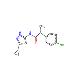 CC(C(=O)Nc1cc(C2CC2)n[nH]1)c1ccc(Br)cc1